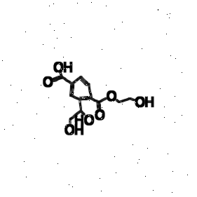 O=C(O)c1ccc(C(=O)OCCO)c(C(O)CO)c1